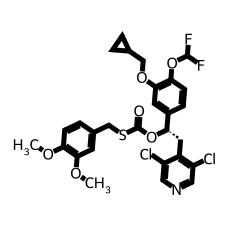 COc1ccc(CSC(=O)O[C@@H](Cc2c(Cl)cncc2Cl)c2ccc(OC(F)F)c(OCC3CC3)c2)cc1OC